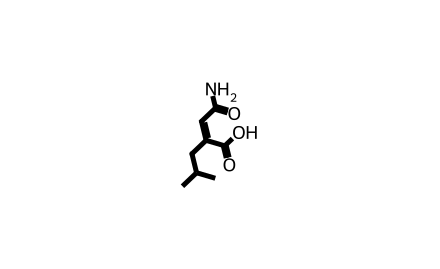 CC(C)CC(=CC(N)=O)C(=O)O